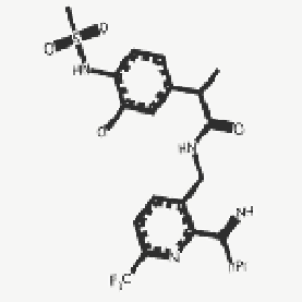 CCCC(=N)c1nc(C(F)(F)F)ccc1CNC(=O)C(C)c1ccc(NS(C)(=O)=O)c(Cl)c1